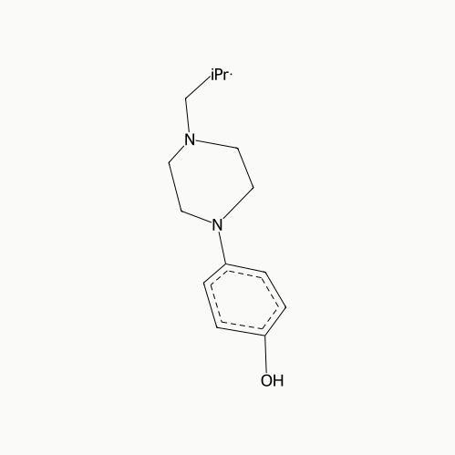 C[C](C)CN1CCN(c2ccc(O)cc2)CC1